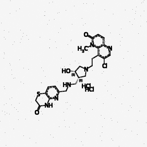 Cl.Cl.Cn1c(=O)ccc2ncc(Cl)c(CCN3C[C@H](CNCc4ccc5c(n4)NC(=O)CS5)[C@H](O)C3)c21